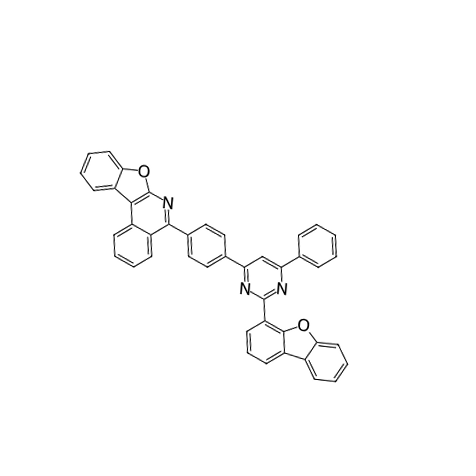 c1ccc(-c2cc(-c3ccc(-c4nc5oc6ccccc6c5c5ccccc45)cc3)nc(-c3cccc4c3oc3ccccc34)n2)cc1